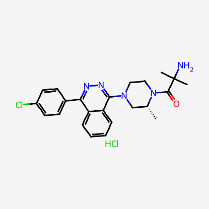 C[C@@H]1CN(c2nnc(-c3ccc(Cl)cc3)c3ccccc23)CCN1C(=O)C(C)(C)N.Cl